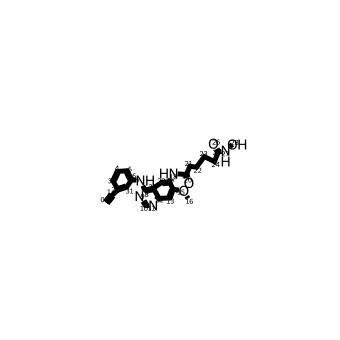 C#Cc1cccc(Nc2ncnc3cc(OC)c(NC(=O)CCCCC(=O)NO)cc23)c1